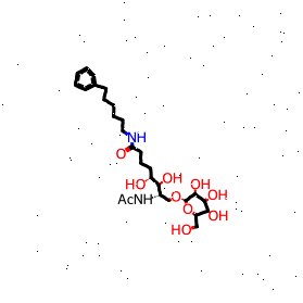 CC(=O)N[C@@H](CO[C@H]1OC(CO)[C@H](O)C(O)[C@@H]1O)[C@H](O)[C@H](O)CCCC(=O)NCCCCCCc1ccccc1